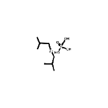 CC(C)[CH2][Zn][CH2]C(C)C.O=P(O)(O)O